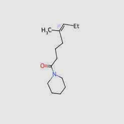 CC/C=C(/C)CCCC(=O)N1CCCCC1